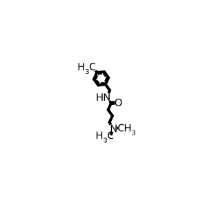 Cc1ccc(CNC(=O)CCCN(C)C)cc1